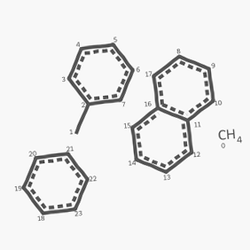 C.Cc1ccccc1.c1ccc2ccccc2c1.c1ccccc1